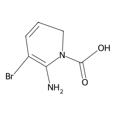 NC1=C(Br)C=CCN1C(=O)O